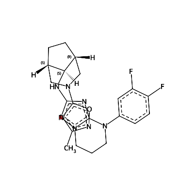 Cc1noc(N2C[C@H]3CC[C@@H](C2)[C@@H]3Nc2nc3n(n2)CCCN3c2ccc(F)c(F)c2)n1